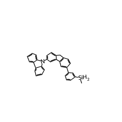 C[SiH2]c1cccc(-c2ccc3c(c2)-c2cc(-n4c5ccccc5c5ccccc54)ccc2C3)c1